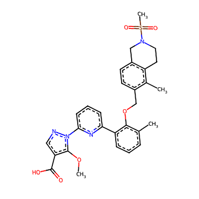 COc1c(C(=O)O)cnn1-c1cccc(-c2cccc(C)c2OCc2ccc3c(c2C)CCN(S(C)(=O)=O)C3)n1